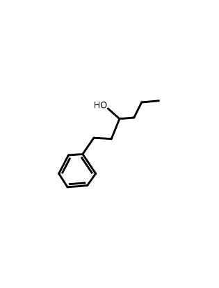 CCCC(O)CCc1ccccc1